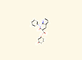 O=C1C=C(OC(=O)c2cc3cccnc3n(-c3ccccc3)c2=O)CCC1